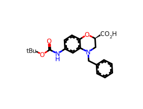 CC(C)(C)OC(=O)Nc1ccc2c(c1)N(Cc1ccccc1)C[C@H](C(=O)O)O2